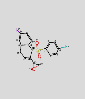 O=S(=O)(c1ccc(F)cc1)C1c2ccc(I)cc2CCC1C1CO1